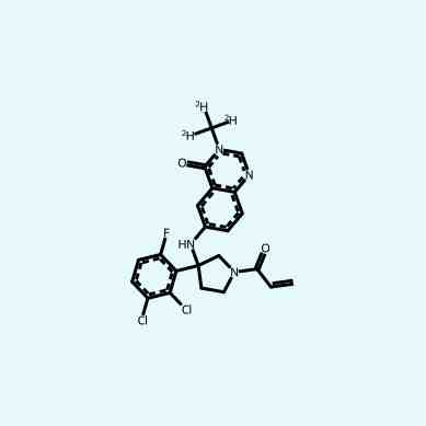 [2H]C([2H])([2H])n1cnc2ccc(NC3(c4c(F)ccc(Cl)c4Cl)CCN(C(=O)C=C)C3)cc2c1=O